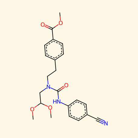 COC(=O)c1ccc(CCN(CC(OC)OC)C(=O)Nc2ccc(C#N)cc2)cc1